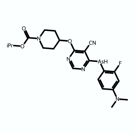 CC(C)OC(=O)N1CCC(Oc2ncnc([AsH]c3ccc(N(C)C)cc3F)c2C#N)CC1